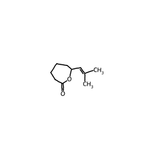 CC(C)=CC1CCCCC(=O)O1